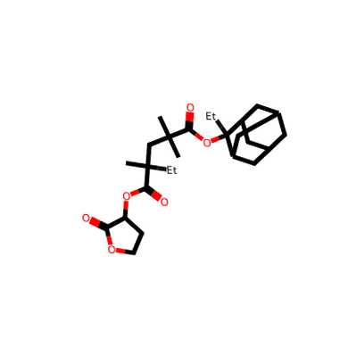 CCC(C)(CC(C)(C)C(=O)OC1(CC)C2CC3CC(C2)CC1C3)C(=O)OC1CCOC1=O